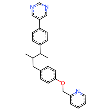 CC(Cc1ccc(OCc2ccccn2)cc1)C(C)c1ccc(-c2cncnc2)cc1